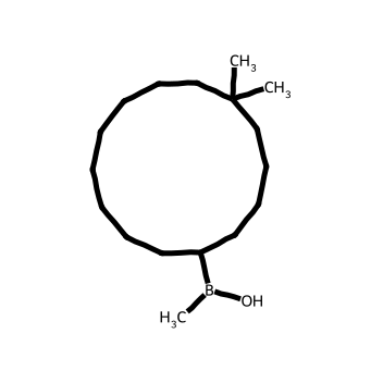 CB(O)C1CCCCCCCCC(C)(C)CCCC1